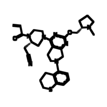 C=CC(=O)N1CCN(c2nc(OC[C@@H]3CCCN3C)nc3c2CCN(c2cccc4c2CCCS4)C3)C[C@@H]1CC#N